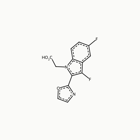 O=C(O)Cn1c(-c2ncco2)c(F)c2cc(F)ccc21